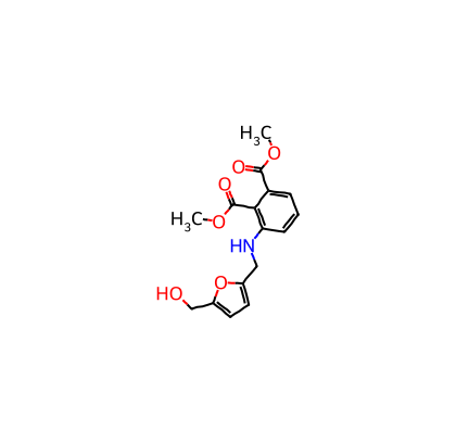 COC(=O)c1cccc(NCc2ccc(CO)o2)c1C(=O)OC